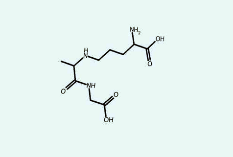 [CH2]C(NCCCC(N)C(=O)O)C(=O)NCC(=O)O